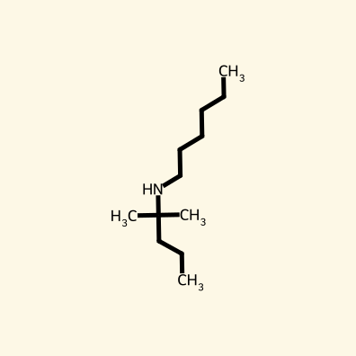 CCCCCCNC(C)(C)CCC